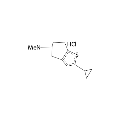 CNC1CCc2sc(C3CC3)cc2C1.Cl